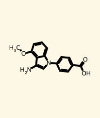 COc1cccc2c1c(N)cn2-c1ccc(C(=O)O)cc1